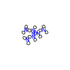 c1ccc(N(c2ccc3c4ccccc4n(-c4ccccc4)c3c2)c2cc(N(c3ccccc3)c3ccc4c5ccccc5n(-c5ccccc5)c4c3)nc(N(c3ccccc3)c3ccc4c(c3)c3ccccc3n4-c3ccccc3)n2)cc1